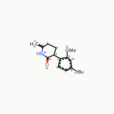 C=C1CCC(c2ccc(C(C)(C)C)cc2OC)C(=O)N1